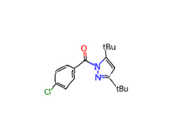 CC(C)(C)c1cc(C(C)(C)C)n(C(=O)c2ccc(Cl)cc2)n1